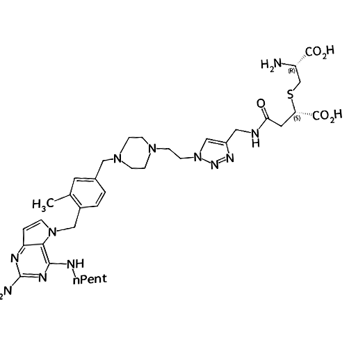 CCCCCNc1nc(N)nc2ccn(Cc3ccc(CN4CCN(CCn5cc(CNC(=O)C[C@H](SC[C@H](N)C(=O)O)C(=O)O)nn5)CC4)cc3C)c12